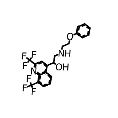 OC(CNCCOc1ccccc1)c1cc(C(F)(F)F)nc2c(C(F)(F)F)cccc12